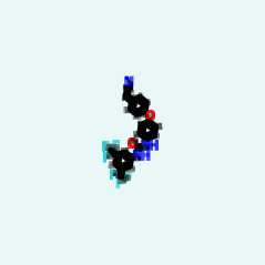 N#CCc1ccc(Oc2ccc(NC(=O)Nc3cc(C(F)(F)F)cc(C(F)(F)F)c3)cc2)cc1